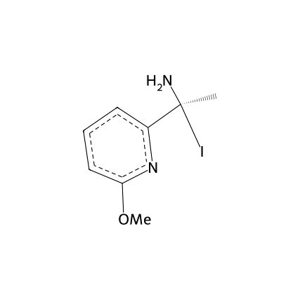 COc1cccc([C@@](C)(N)I)n1